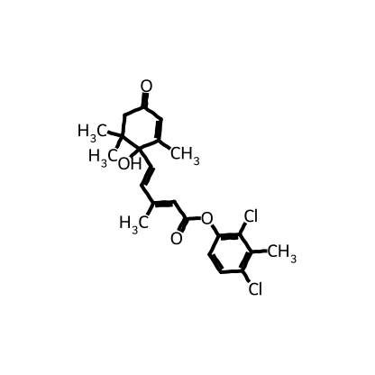 CC(C=CC1(O)C(C)=CC(=O)CC1(C)C)=CC(=O)Oc1ccc(Cl)c(C)c1Cl